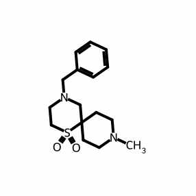 CN1CCC2(CC1)CN(Cc1ccccc1)CCS2(=O)=O